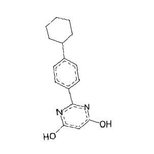 Oc1cc(O)nc(-c2ccc(C3CCCCC3)cc2)n1